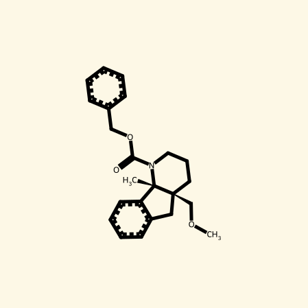 COC[C@]12CCCN(C(=O)OCc3ccccc3)[C@@]1(C)c1ccccc1C2